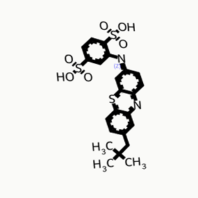 CC(C)(C)Cc1ccc2sc3c/c(=N\c4cc(S(=O)(=O)O)ccc4S(=O)(=O)O)ccc-3nc2c1